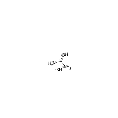 N=C(N)N.[KH]